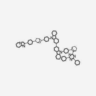 c1ccc(-c2nc(-c3ccccc3)nc(C3CC4CCC3CC4c3ccc(-n4c5ccccc5c5ccc(-c6ccc7c8ccccc8n(-c8ccc(C9CC%10CC9CC%10c9ccc(-c%10cn%11ccccc%11n%10)cc9)cc8)c7c6)cc54)cc3)n2)cc1